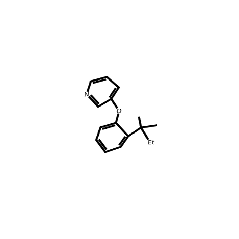 CCC(C)(C)c1ccccc1Oc1cccnc1